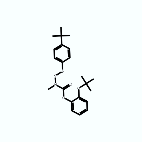 CN(SSc1ccc(C(C)(C)C)cc1)C(=O)Oc1ccccc1OC(C)(C)C